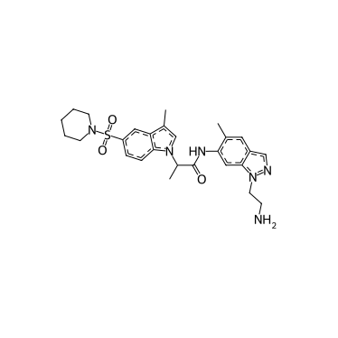 Cc1cc2cnn(CCN)c2cc1NC(=O)C(C)n1cc(C)c2cc(S(=O)(=O)N3CCCCC3)ccc21